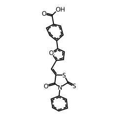 O=C(O)c1ccc(-c2ccc(/C=C3\SC(=S)N(c4ccccc4)C3=O)o2)cc1